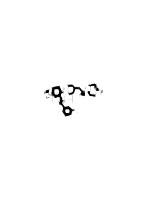 CN1CCCN(C(=O)CC2CCN(c3ccc(S(C)(=O)=O)cc3NC(=O)c3cccc(Cl)c3)CC2)CC1